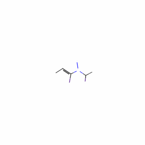 C/C=C(\I)N(N)C(I)CC